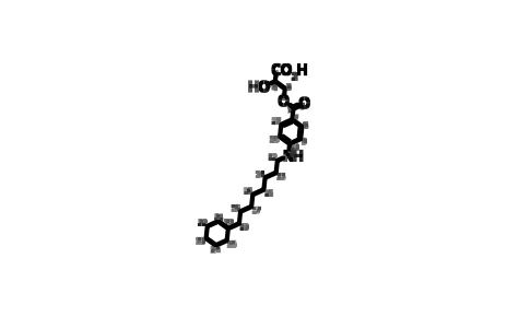 O=C(OCC(O)C(=O)O)c1ccc(NCCCCCCCCC2CCCCC2)cc1